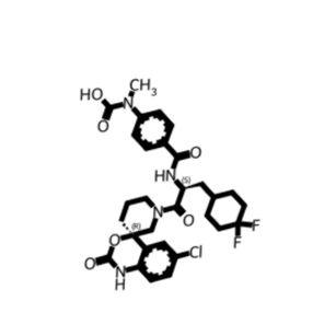 CN(C(=O)O)c1ccc(C(=O)N[C@@H](CC2CCC(F)(F)CC2)C(=O)N2CCC[C@@]3(C2)OC(=O)Nc2ccc(Cl)cc23)cc1